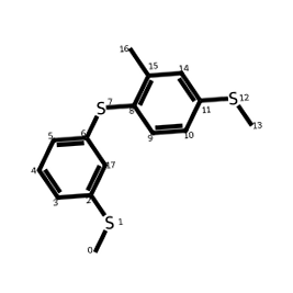 CSc1cccc(Sc2ccc(SC)cc2C)c1